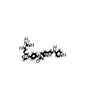 N=C(N)NCC[C@H]1CN(c2ccc(-n3cc4cc(CCNC5CCNCC5)[nH]c4nc3=O)cc2)CCO1